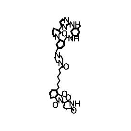 Cc1ccc(NC(=O)c2ccc(CN3CCN(C(=O)CCCCCCc4cccc5c4C(=O)N(C4CCC(=O)NC4=O)C5=O)CC3)cc2)cc1Nc1nccc(-c2cccnc2)n1